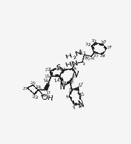 N[C@@H](CNc1nc(-c2ccncc2)nc2c(C#CC3(O)CCC3)csc12)Cc1ccccc1